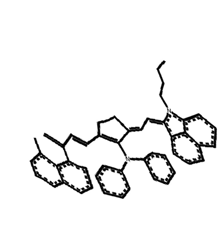 C=C(/C=C/C1=C(N(c2ccccc2)c2ccccc2)C(=C/C=c2\c3cccc4cccc(c43)n2CCCC)/CC1)c1cccc2cccc(C)c12